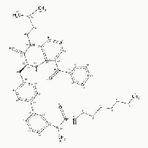 CCCCCCCNC(=O)N(C)c1cccc(-c2ccc(C[C@H](Nc3ccccc3C(=O)c3ccccc3)C(=O)NCCC(C)C)cc2)c1